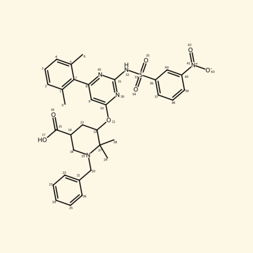 Cc1cccc(C)c1-c1cc(OC2CC(C(=O)O)CN(Cc3ccccc3)C2(C)C)nc(NS(=O)(=O)c2cccc([N+](=O)[O-])c2)n1